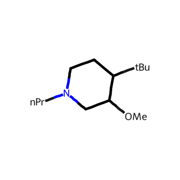 CCCN1CCC(C(C)(C)C)C(OC)C1